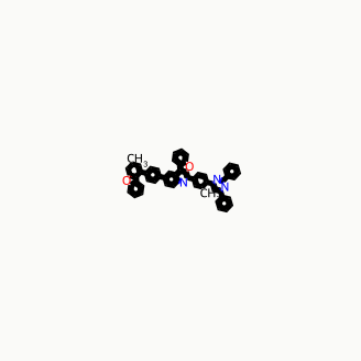 CC1C=C(c2ccc(-c3ccc4nc(C5=CC(C)C(c6cc(-c7ccccc7)nc(-c7ccccc7)n6)C=C5)c5oc6ccccc6c5c4c3)cc2)c2c(oc3ccccc23)C1